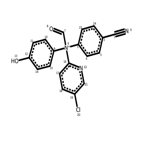 N#Cc1ccc([N+](C=O)(c2[c]cc(O)cc2)c2ccc(Cl)cn2)cc1